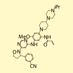 C=CC(=O)Nc1cc(Nc2cc(N3OCCC3c3cccc(C#N)c3)ncn2)c(OC)cc1N1CCC(N2CCN(C(C)C)CC2)CC1